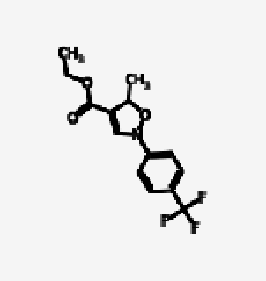 CCOC(=O)C1=CN(c2ccc(C(F)(F)F)cc2)OC1C